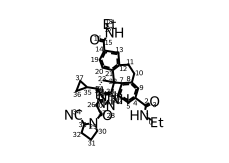 CCNC(=O)c1ccc2c(c1)CCc1cc(C(=O)NCC)ccc1C2(C[C@H](NCC(=O)N1CCCC1C#N)C1CC1)c1nnn[nH]1